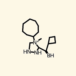 B=C(C1CCC1)C1NNC[N+]1(C)C1CCCCCCC1